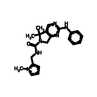 Cn1cccc1CNC(=O)N1Cc2nc(Nc3ccccc3)ncc2C1(C)C